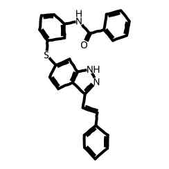 O=C(Nc1cccc(Sc2ccc3c(C=Cc4ccccc4)n[nH]c3c2)c1)c1ccccc1